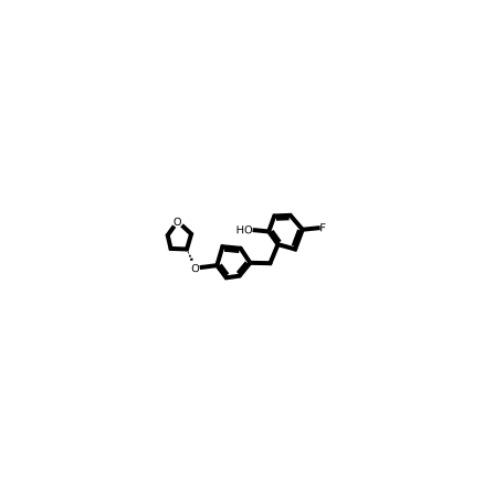 Oc1ccc(F)cc1Cc1ccc(O[C@@H]2CCOC2)cc1